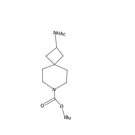 CC(=O)NC1CC2(CCN(C(=O)OC(C)(C)C)CC2)C1